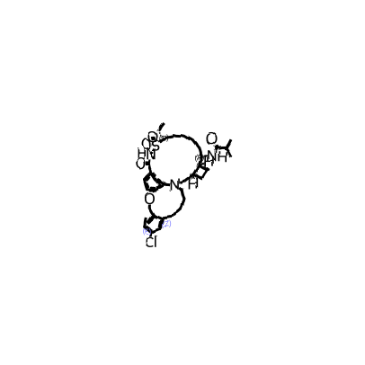 C=C1COc2ccc3cc2N(CCCC/C1=C/C(Cl)=C\C)C[C@@H]1CC[C@H]1[C@H](NC(=O)C(C)C)CCCC[C@@H](CC)S(=O)(=O)NC3=O